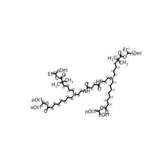 CCCCCCCCCCC(CC)OC(=O)C(C)(C)CCCCN(CCCCCCCC(=O)OC(CCCCCCCC)CCCCCCCC)CCNC(=O)CCC(=O)NCCN(CCCCCCCC(=O)OC(CCCCCCCC)CCCCCCCC)CCCCC(C)(C)C(=O)OC(CC)CCCCCCCCCC